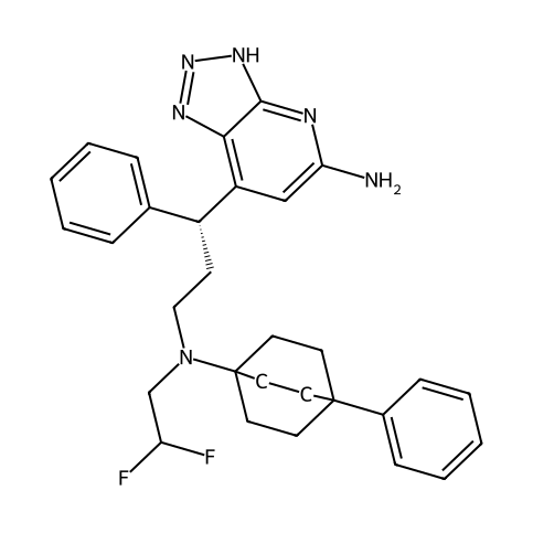 Nc1cc([C@H](CCN(CC(F)F)C23CCC(c4ccccc4)(CC2)CC3)c2ccccc2)c2nn[nH]c2n1